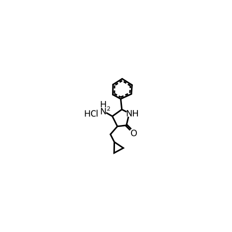 Cl.NC1C(CC2CC2)C(=O)NC1c1ccccc1